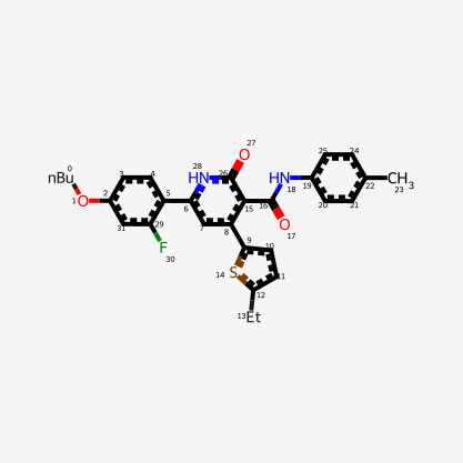 CCCCOc1ccc(-c2cc(-c3ccc(CC)s3)c(C(=O)Nc3ccc(C)cc3)c(=O)[nH]2)c(F)c1